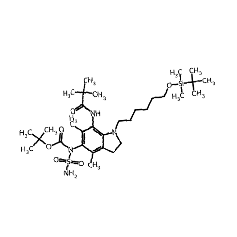 Cc1c2c(c(NC(=O)C(C)(C)C)c(C)c1N(C(=O)OC(C)(C)C)S(N)(=O)=O)N(CCCCCCO[Si](C)(C)C(C)(C)C)CC2